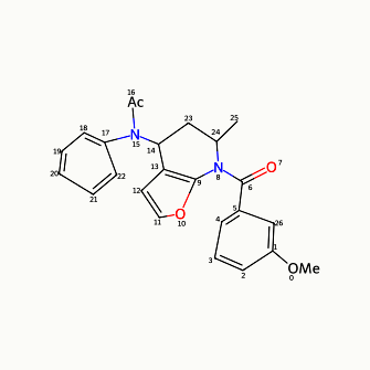 COc1cccc(C(=O)N2c3occc3C(N(C(C)=O)c3ccccc3)CC2C)c1